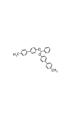 Cc1ccc(-c2ccc(OC(Oc3ccc(-c4ccc(C)cc4)cc3)c3ccccc3)cc2)cc1